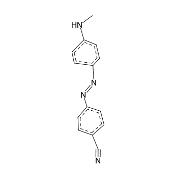 CNc1ccc(N=Nc2ccc(C#N)cc2)cc1